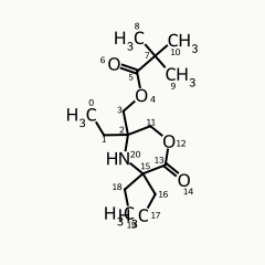 CCC1(COC(=O)C(C)(C)C)COC(=O)C(CC)(CC)N1